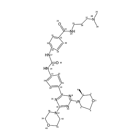 C[C@H]1COCCN1c1nc(-c2ccc(NC(=O)Nc3ccc(C(=O)NCCCN(C)C)cc3)cc2)nc(N2CCOCC2)n1